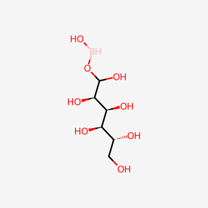 OBOC(O)[C@H](O)[C@@H](O)[C@H](O)[C@H](O)CO